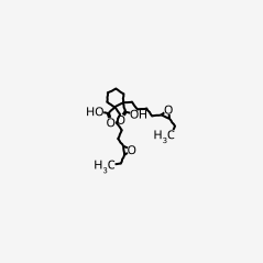 CCC1OC1CCCCC1(C(=O)O)CCCCC1(CCCCC1OC1CC)C(=O)O